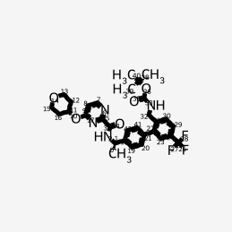 C[C@@H](NC(=O)c1nccc(OC2CCOCC2)n1)c1ccc(-c2cc(C(F)(F)F)ccc2CNC(=O)OC(C)(C)C)cc1